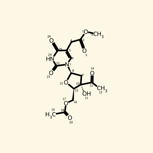 COC(=O)Cc1cn([C@H]2C[C@@](O)(C(C)=O)[C@@H](COC(C)=O)O2)c(=O)[nH]c1=O